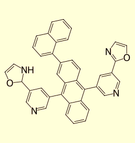 C1=COC(c2cncc(-c3c4ccccc4c(-c4cncc(-c5ncco5)c4)c4ccc(-c5cccc6ccccc56)cc34)c2)N1